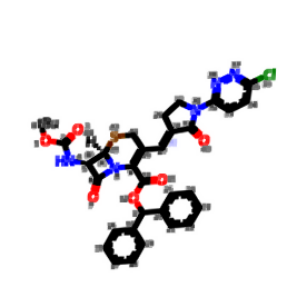 CC(C)(C)OC(=O)N[C@@H]1C(=O)N2C(C(=O)OC(c3ccccc3)c3ccccc3)=C(/C=C3\CCN(c4ccc(Cl)nn4)C3=O)CS[C@H]12